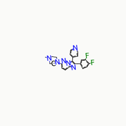 CN1CCN(c2ccc3nc(-c4ccc(F)c(F)c4)c(-c4ccncc4)n3n2)CC1